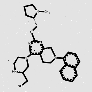 CN1CCC[C@H]1COc1nc2c(c(N3CCNC(CC#N)C3)n1)CCN(c1cccc3ccccc13)C2